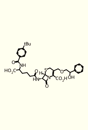 CC(C)(C)c1ccc(C(=O)NC(CCCC(=O)N[C@@H]2C(=O)N3C(C(=O)O)=C(COCC(O)c4ccccc4)CS[C@@H]23)C(=O)O)cc1